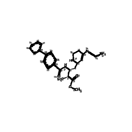 COC(=O)[C@H](C)[C@@H](CC1C=C(N=CN)CCN1)NC(=O)c1ccc(-c2ccccc2)cc1